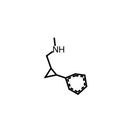 CNCC1CC1c1ccccc1